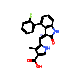 Cc1c(C(=O)O)c[nH]c1/C=C1\C(=O)Nc2cccc(-c3ccccc3F)c21